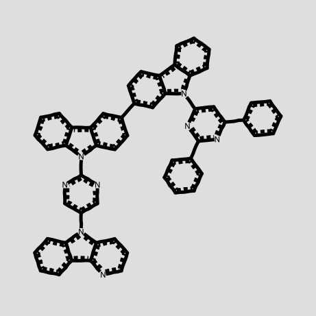 c1ccc(-c2cc(-n3c4ccccc4c4ccc(-c5ccc6c(c5)c5ccccc5n6-c5ncc(-n6c7ccccc7c7ncccc76)cn5)cc43)nc(-c3ccccc3)n2)cc1